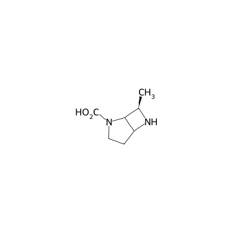 C[C@H]1NC2CCN(C(=O)O)C21